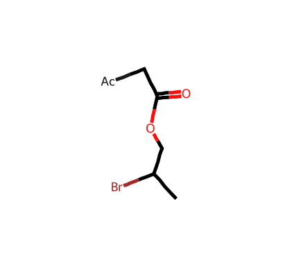 CC(=O)CC(=O)OCC(C)Br